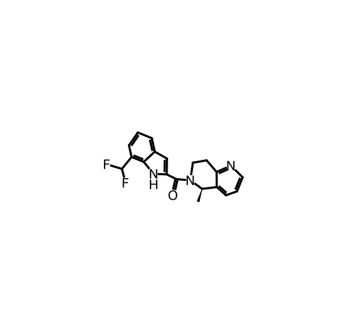 C[C@@H]1c2cccnc2CCN1C(=O)c1cc2cccc(C(F)F)c2[nH]1